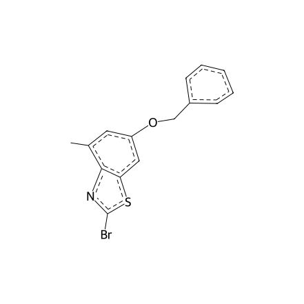 Cc1cc(OCc2ccccc2)cc2sc(Br)nc12